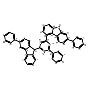 c1ccc(-c2ccc3c(c2)-c2ccccc2C3c2nc(-c3ccccc3)nc(-c3cccc4oc5cc(-c6ccccc6)ccc5c34)n2)cc1